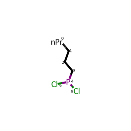 CCCCCCP(Cl)Cl